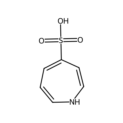 O=S(=O)(O)C1=CC=CNC=C1